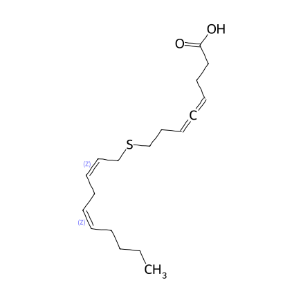 CCCC/C=C\C/C=C\CSCCC=C=CCCC(=O)O